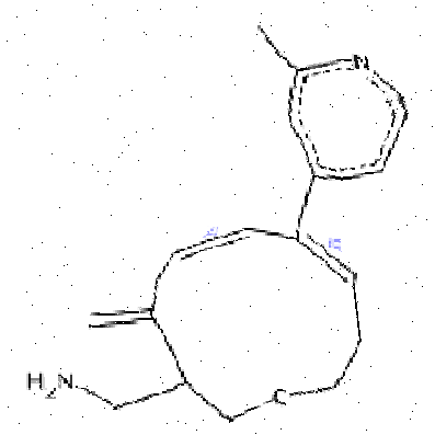 C=C1/C=C\C(c2ccnc(C)c2)=C/CCCCC1CN